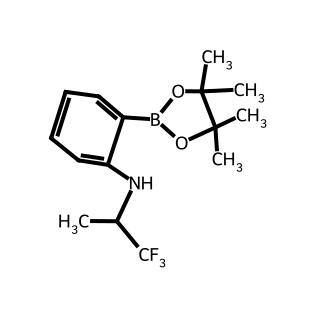 CC(Nc1ccccc1B1OC(C)(C)C(C)(C)O1)C(F)(F)F